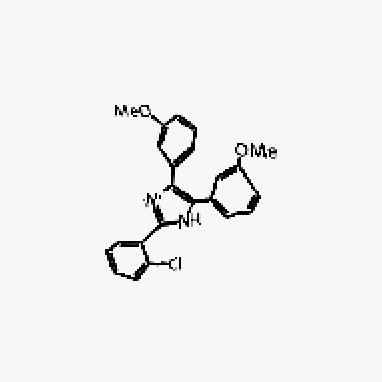 COc1cccc(C2=C(c3cccc(OC)c3)NC(c3ccccc3Cl)=[N+]2)c1